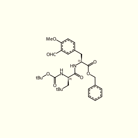 COc1ccc(C[C@H](NC(=O)[C@@H](CC(C)(C)C)NC(=O)OC(C)(C)C)C(=O)OCc2ccccc2)cc1C=O